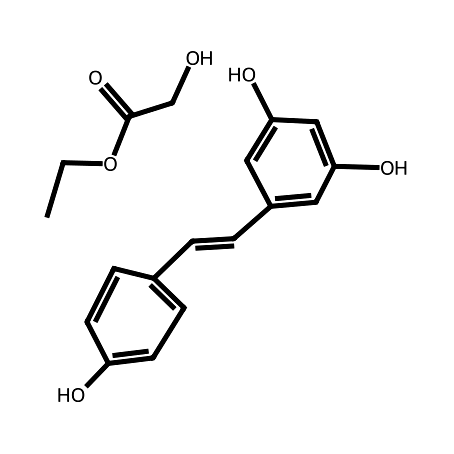 CCOC(=O)CO.Oc1ccc(C=Cc2cc(O)cc(O)c2)cc1